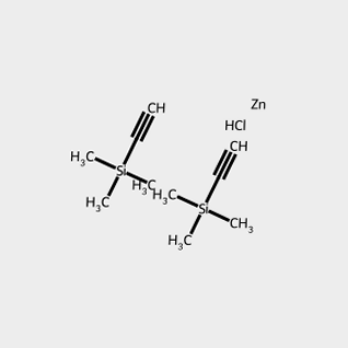 C#C[Si](C)(C)C.C#C[Si](C)(C)C.Cl.[Zn]